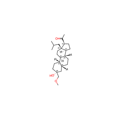 COC[C@@]1(O)CC[C@H]2[C@H](CC[C@@H]3[C@@H]2CC[C@]2(CC(C)C)[C@@H](C(C)=O)CC[C@@H]32)C1